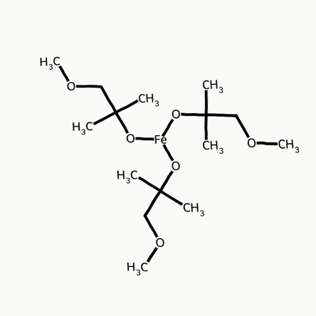 COCC(C)(C)[O][Fe]([O]C(C)(C)COC)[O]C(C)(C)COC